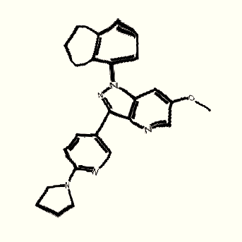 COc1cnc2c(-c3ccc(N4CCCC4)nc3)nn(-c3cccc4c3CCC4)c2c1